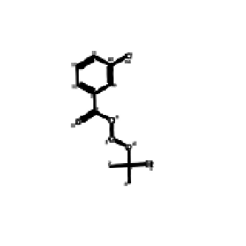 CCC(C)(C)OOOC(=O)c1cccc(Cl)c1